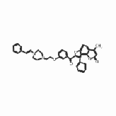 Cc1cc(=O)oc2c1ccc1oc(C(=O)c3cccc(OCCN4CCN(/C=C/c5ccccc5)CC4)c3)c(-c3ccccc3)c12